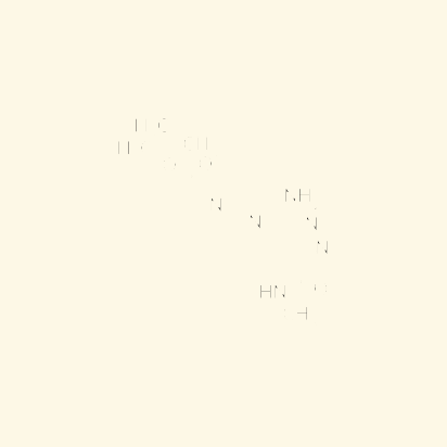 CNC(=O)c1cc(N2CCN(CC(=O)OC(C)(C)C)CC2)c(N)nn1